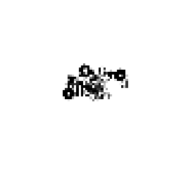 CCOP(=O)(OCC)C(O)C(O)(CCC(=O)NC1(Cc2ccccc2)CC1)NC(=O)[C@H](CC1CCCCC1)NC(=O)OCc1cccc(Cl)c1